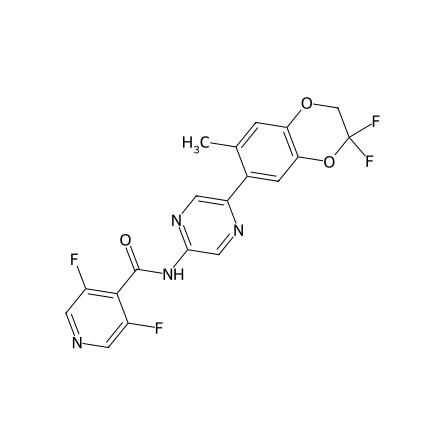 Cc1cc2c(cc1-c1cnc(NC(=O)c3c(F)cncc3F)cn1)OC(F)(F)CO2